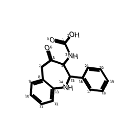 O=C(O)NC1C(=O)Cc2ccccc2NC1c1ccccc1